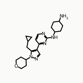 NC1CCC(Nc2nccc(-c3cnn(C4CCOCC4)c3CC3CC3)n2)CC1